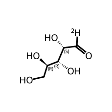 [2H]C(=O)[C@@H](O)[C@H](O)[C@H](O)CO